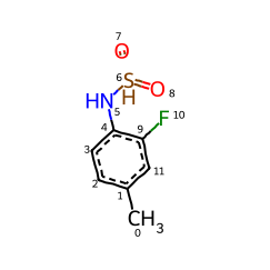 Cc1ccc(N[SH](=O)=O)c(F)c1